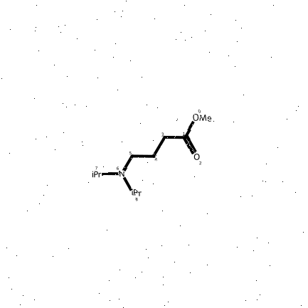 COC(=O)CCCN(C(C)C)C(C)C